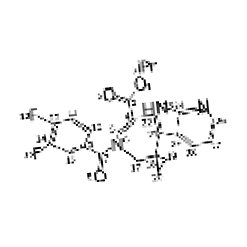 CC(C)OC(=O)C1=CN(C(=O)c2ccc(F)c(F)c2)CC2(CC2)c2c1[nH]c1ncccc21